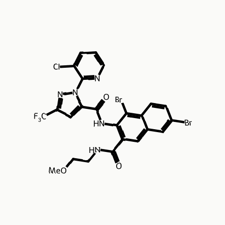 COCCNC(=O)c1cc2cc(Br)ccc2c(Br)c1NC(=O)c1cc(C(F)(F)F)nn1-c1ncccc1Cl